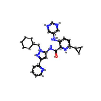 O=C(Nc1cc(-c2ccccn2)nn1CC1CCCCC1)c1nc(C2CC2)ccc1Nc1cncnc1